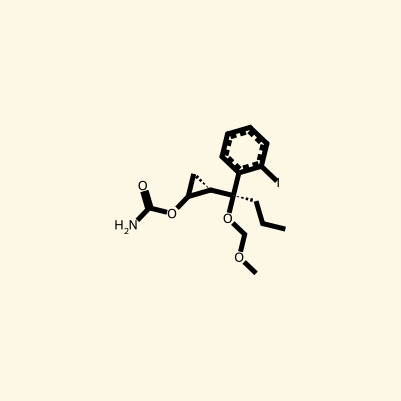 CCC[C@@](OCOC)(c1ccccc1I)[C@H]1CC1OC(N)=O